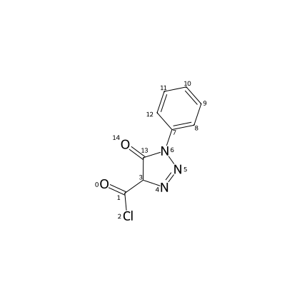 O=C(Cl)C1N=NN(c2ccccc2)C1=O